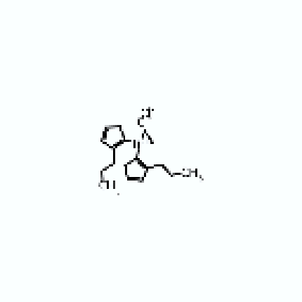 CCCC1=[C]([Ti+2]2([C]3=C(CCC)C=CC3)[CH2][CH2]2)CC=C1.[Cl-].[Cl-]